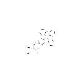 C[PH2+]C(C#N)(C#N)CC#N.c1ccc([B-](c2ccccc2)(c2ccccc2)c2ccccc2)cc1